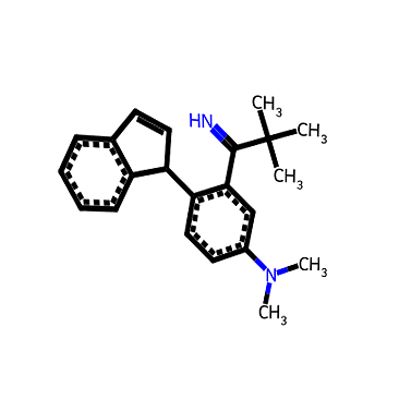 CN(C)c1ccc(C2C=Cc3ccccc32)c(C(=N)C(C)(C)C)c1